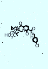 CC(C)(C(=O)O)S(=O)(=O)C1(CN2CCn3c(ccc(C(=O)NCc4ccc(Cl)cc4)c3=O)C2=O)CC1